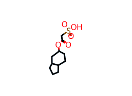 O=C(CS(=O)(=O)O)OC1CCC2CCCC2C1